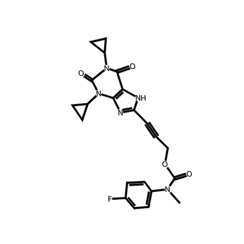 CN(C(=O)OCC#Cc1nc2c([nH]1)c(=O)n(C1CC1)c(=O)n2C1CC1)c1ccc(F)cc1